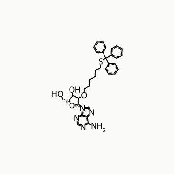 Nc1ncnc2c1ncn2[C@@H]1O[C@H](CO)C(O)C1OCCCCCCSC(c1ccccc1)(c1ccccc1)c1ccccc1